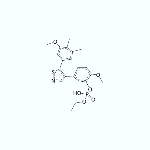 CCOP(=O)(O)Oc1cc(-c2cnsc2-c2cc(C)c(C)c(OC)c2)ccc1OC